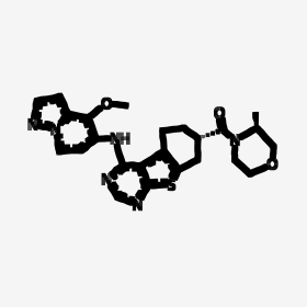 COc1c(Nc2ncnc3sc4c(c23)CC[C@H](C(=O)N2CCOC[C@@H]2C)C4)ccn2nccc12